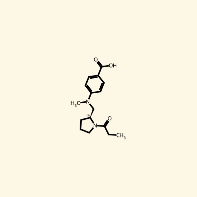 CCC(=O)N1CCC[C@H]1CN(C)c1ccc(C(=O)O)cc1